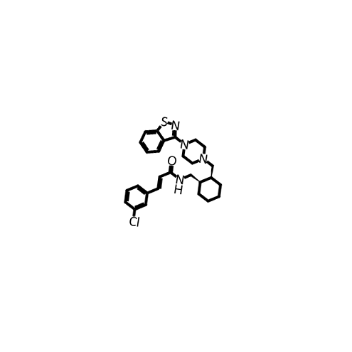 O=C(/C=C/c1cccc(Cl)c1)NC[C@@H]1CCCC[C@@H]1CN1CCN(c2nsc3ccccc23)CC1